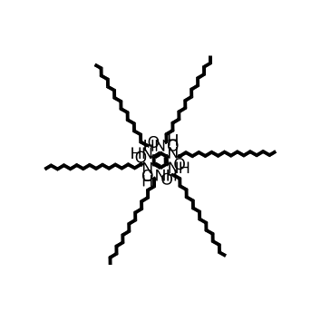 CCCCCCCCCCCCCCCC(=O)Nc1c(NC(=O)CCCCCCCCCCCCCCC)c(NC(=O)CCCCCCCCCCCCCCC)c(NC(=O)CCCCCCCCCCCCCCC)c(NC(=O)CCCCCCCCCCCCCCC)c1NC(=O)CCCCCCCCCCCCCCC